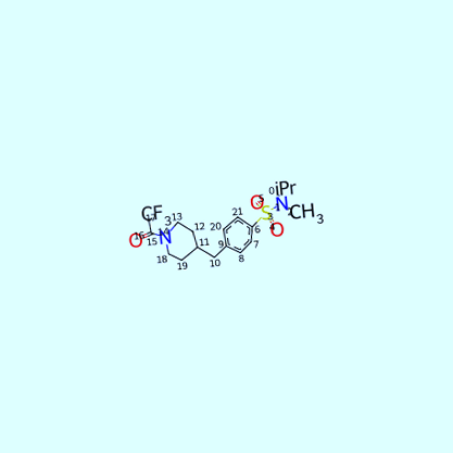 CC(C)N(C)S(=O)(=O)c1ccc(CC2CCN(C(=O)C(F)(F)F)CC2)cc1